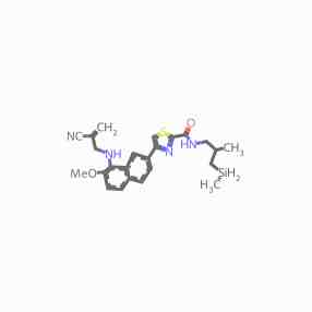 C=C(C#N)CNc1c(OC)ccc2ccc(-c3csc(C(=O)NCC(C)C[SiH2]C)n3)cc12